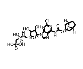 CN1[C@@H]2CC[C@H]1C[C@@H](OC(=O)Nc1nc(Cl)nc3c1ncn3[C@@H]1O[C@H](CNP(=O)(O)CP(=O)(O)O)C(O)C1O)C2